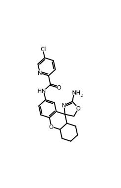 NC1=NC2(CO1)c1cc(NC(=O)c3ccc(Cl)cn3)ccc1OC1CCCCC12